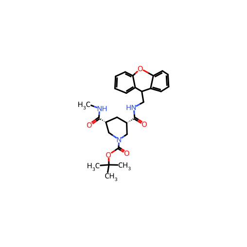 CNC(=O)[C@@H]1C[C@H](C(=O)NCC2c3ccccc3Oc3ccccc32)CN(C(=O)OC(C)(C)C)C1